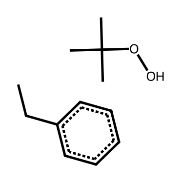 CC(C)(C)OO.CCc1ccccc1